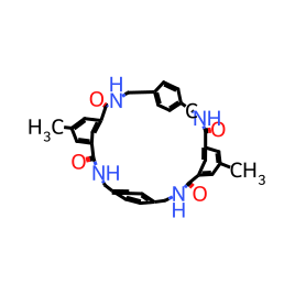 Cc1cc2cc(c1)C(=O)NCc1ccc(cc1)CNC(=O)c1cc(C)cc(c1)C(=O)NCc1ccc(cc1)CNC2=O